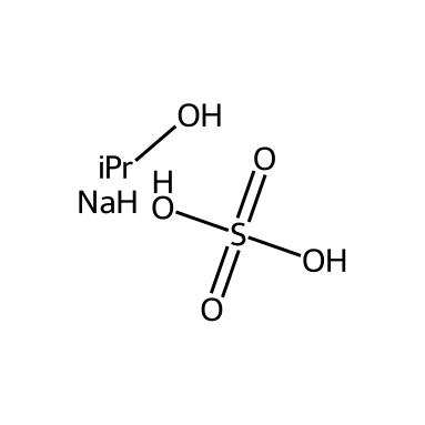 CC(C)O.O=S(=O)(O)O.[NaH]